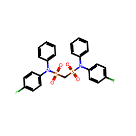 O=S(=O)(CS(=O)(=O)N(c1ccccc1)c1ccc(F)cc1)N(c1ccccc1)c1ccc(F)cc1